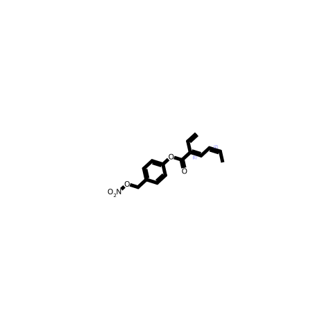 C=C/C(=C\C=C/C)C(=O)Oc1ccc(CO[N+](=O)[O-])cc1